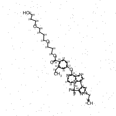 C#CCn1cc(-c2cnc3c(Oc4ccc(C(=O)OCCCOCCCCOCCCO)c(CC)c4)nccn23)c(C(F)(F)F)n1